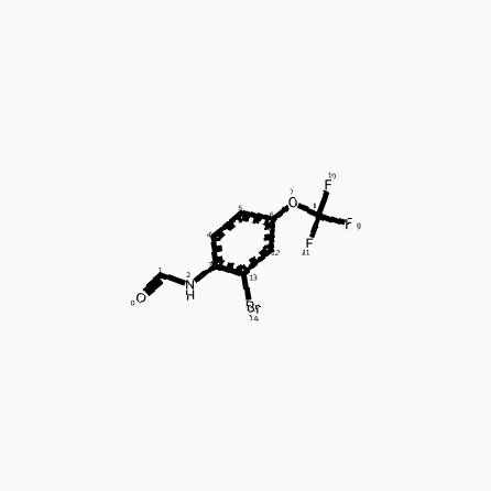 O=CNc1ccc(OC(F)(F)F)cc1Br